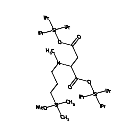 CO[Si](C)(C)CCCN(C)C(CC(=O)O[Si](C(C)C)(C(C)C)C(C)C)C(=O)O[Si](C(C)C)(C(C)C)C(C)C